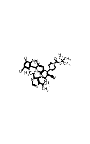 CC(C)c1ncnc(C(C)C)c1-n1c(=O)c(C#N)c(N2CCN(C(=O)OC(C)(C)C)CC2)c2cc(Cl)c(-c3c(N)c(Cl)cc(Cl)c3F)nc21